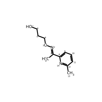 C/C(=N\OCCCO)c1cccc(C)n1